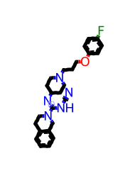 N#CN/C(=N\C1CCN(CCCOc2ccc(F)cc2)CC1)N1CCc2ccccc2C1